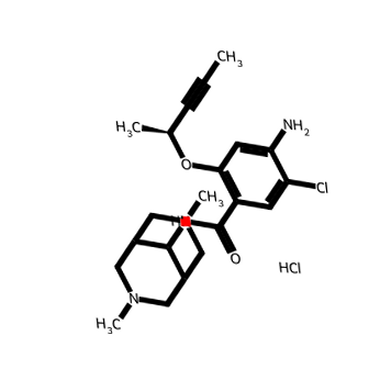 CC#C[C@H](C)Oc1cc(N)c(Cl)cc1C(=O)NC1C2CN(C)CC1CN(C)C2.Cl